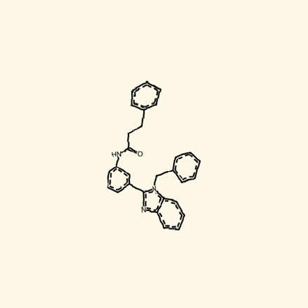 O=C(CCc1ccccc1)Nc1cccc(-c2nc3ccccc3n2Cc2ccccc2)c1